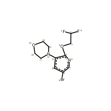 FC(F)COc1ncc(Br)cc1N1CCOCC1